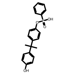 CC(C)(c1ccc(O)cc1)c1ccc(OP(=O)(O)c2ccccc2)cc1